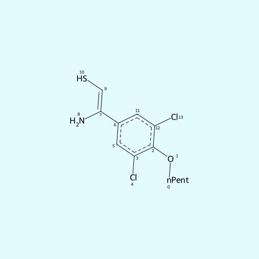 CCCCCOc1c(Cl)cc(/C(N)=C/S)cc1Cl